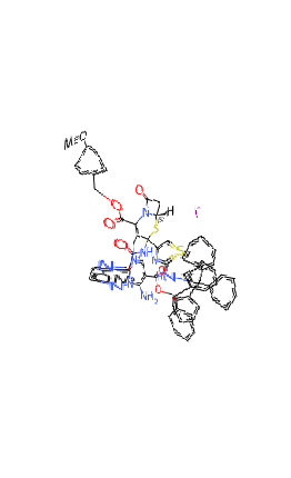 CON=CC(=O)NC1(c2csc(NC(c3ccccc3)(c3ccccc3)c3ccccc3)n2)S[C@H]2CC(=O)N2C(C(=O)OCc2ccc(OC)cc2)=C1C[n+]1cc(C(=O)OC(c2ccccc2)c2ccccc2)c(N)n2nccc21.[I-]